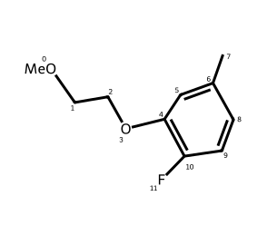 COCCOc1cc(C)ccc1F